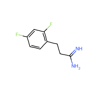 N=C(N)CCc1ccc(F)cc1F